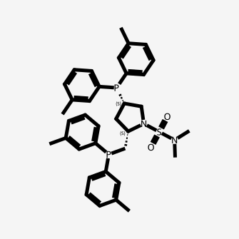 Cc1cccc(P(C[C@@H]2C[C@H](P(c3cccc(C)c3)c3cccc(C)c3)CN2S(=O)(=O)N(C)C)c2cccc(C)c2)c1